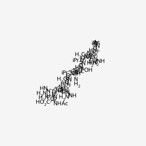 CC(=O)CN(C[C@H](CCCNC(=N)N)NC(=O)CN(C[C@H](C)NC(=O)CN(C[C@@H](NC(=O)CN(C[C@H](CC(C)C)NC(=O)CN(C[C@H](CCCNC(=N)N)NC(=O)CN(C[C@H](CCCNC(=N)N)NC(=O)CN(C[C@H](CCC(=O)O)NC(C)=O)S(=O)(=O)CCN)S(C)(=O)=O)S(C)(=O)=O)S(=O)(=O)CCN)C(C)O)S(=O)(=O)CC(C)C)S(=O)(=O)CCN)S(=O)(=O)CC(C)C